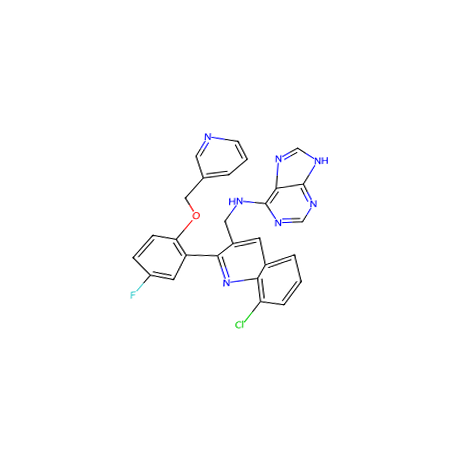 Fc1ccc(OCc2cccnc2)c(-c2nc3c(Cl)cccc3cc2CNc2ncnc3[nH]cnc23)c1